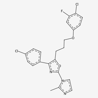 Cc1nccn1-c1nc(-c2ccc(Cl)cc2)c(CCCOc2ccc(Cl)c(F)c2)o1